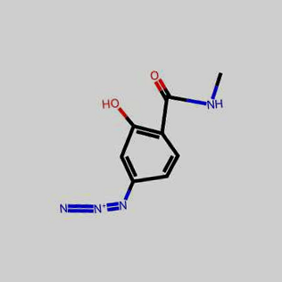 CNC(=O)c1ccc(N=[N+]=[N-])cc1O